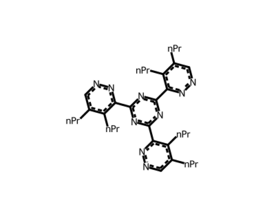 CCCc1cnnc(-c2nc(-c3nncc(CCC)c3CCC)nc(-c3nncc(CCC)c3CCC)n2)c1CCC